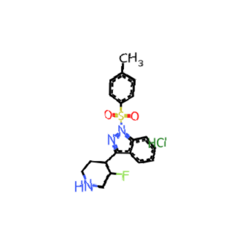 Cc1ccc(S(=O)(=O)n2nc(C3CCNCC3F)c3ccccc32)cc1.Cl